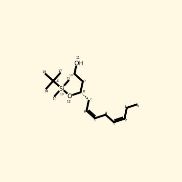 CC/C=C\C/C=C\C[C@@H](CCO)O[Si](C)(C)C(C)(C)C